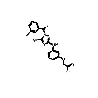 Cc1cccc(C(=O)n2nc(Nc3cccc(OCC(=O)O)c3)nc2N)c1